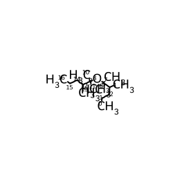 CCCC(C)C(C)(C)OC(C)(C)C(C)CCC